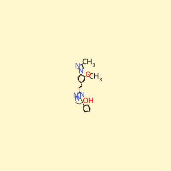 COc1cc(C=Cc2nc3n(n2)CCC3(O)c2ccccc2)ccc1-n1cnc(C)c1